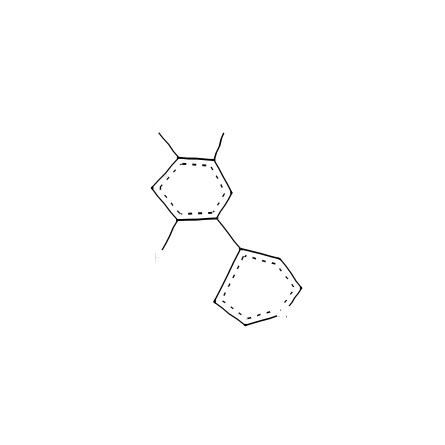 Fc1cc(-c2ccncc2)c(F)cc1Br